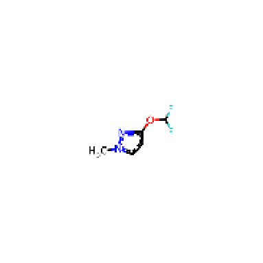 Cn1ccc(OC(F)F)n1